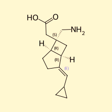 NC[C@]1(CC(=O)O)C[C@H]2/C(=C/C3CC3)CC[C@H]21